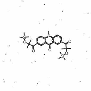 Cn1c2ccc(C(=O)C(C)(C)O[Si](C)(C)C)cc2c(=O)c2cc(C(=O)C(C)(C)O[Si](C)(C)C)ccc21